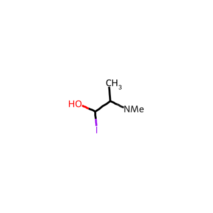 CNC(C)C(O)I